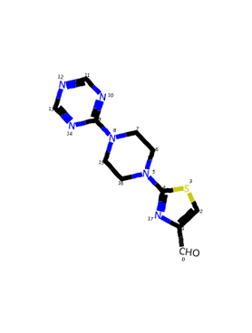 O=Cc1csc(N2CCN(c3ncncn3)CC2)n1